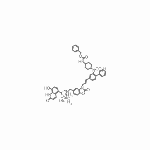 CC(C)(C)[Si](C)(C)O[C@@H](CNCc1ccc2oc(=O)n(C/C=C/c3ccc(-c4ccccc4)c(N(C(=O)O)C4CCC(NC(=O)OCc5ccccc5)CC4)c3)c2c1)c1ccc(O)c2[nH]c(=O)ccc12